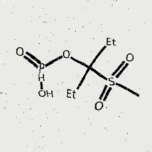 CCC(CC)(O[PH](=O)O)S(C)(=O)=O